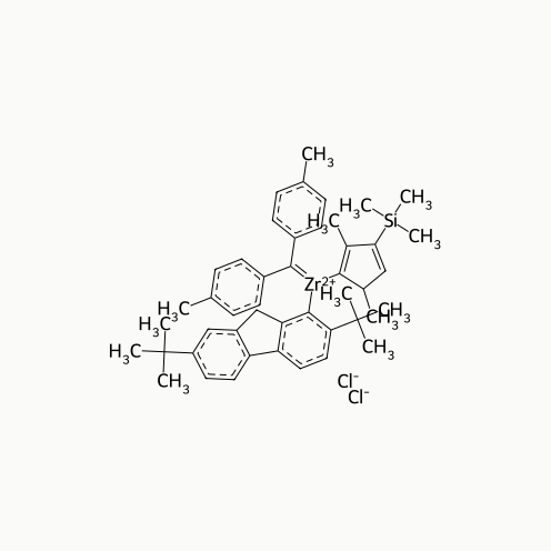 CC1=[C]([Zr+2](=[C](c2ccc(C)cc2)c2ccc(C)cc2)[c]2c(C(C)(C)C)ccc3c2Cc2cc(C(C)(C)C)ccc2-3)C(C)C=C1[Si](C)(C)C.[Cl-].[Cl-]